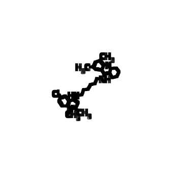 Cc1cc(C)c2nc3c(c(NCCCCCCNc4cc(C)[n+](C)c5ccc(Cl)cc45)c2c1)CCCC3